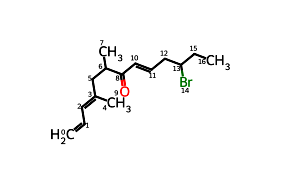 C=C/C=C(\C)CC(C)C(=O)/C=C/CC(Br)CC